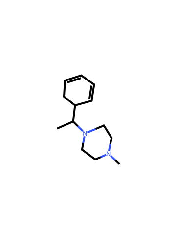 CC(C1C=CC=CC1)N1CCN(C)CC1